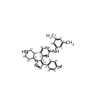 Cc1cc(C)cc(Nc2nccc(-c3c(-c4ccc(F)cc4)nnn3C3CCNCC3)n2)c1